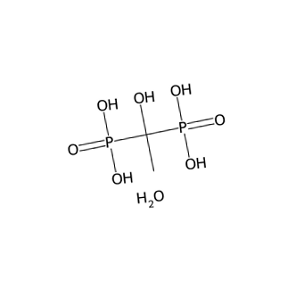 CC(O)(P(=O)(O)O)P(=O)(O)O.O